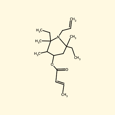 C=CCN1C(C)(CC)CC(OC(=O)/C=C/C)C(C)C1(C)CC